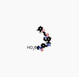 Cc1cccc(OCCCC(=O)N2CCCc3c(-c4cnn(Cc5cccc(C(=O)N6CC(C(=O)O)C6)c5)c4)cccc32)c1C